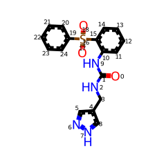 O=C(NCc1cn[nH]c1)Nc1ccccc1S(=O)(=O)c1ccccc1